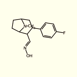 CN1C2CCC1C(C=NO)C(c1ccc(F)cc1)C2